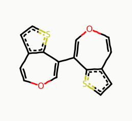 C1=Cc2ccsc2C(C2=COC=Cc3ccsc32)=CO1